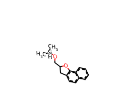 C[SiH](C)OCC1Cc2ccc3ccccc3c2O1